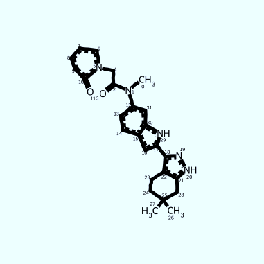 CN(C(=O)Cn1ccccc1=O)c1ccc2cc(-c3n[nH]c4c3CCC(C)(C)C4)[nH]c2c1